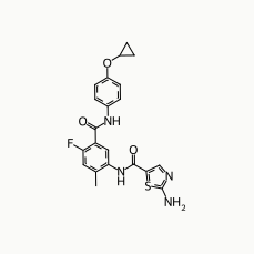 Cc1cc(F)c(C(=O)Nc2ccc(OC3CC3)cc2)cc1NC(=O)c1cnc(N)s1